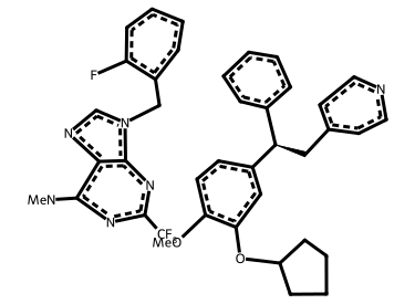 CNc1nc(C(F)(F)F)nc2c1ncn2Cc1ccccc1F.COc1ccc([C@H](Cc2ccncc2)c2ccccc2)cc1OC1CCCC1